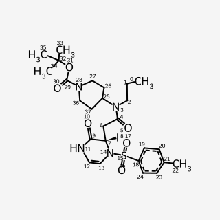 CCCN(C(=O)C[C@@]1(I)C(=O)NC=CN1S(=O)(=O)c1ccc(C)cc1)C1CCN(C(=O)OC(C)(C)C)CC1